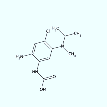 CC(C)N(C)c1cc(NC(=O)O)c(N)cc1Cl